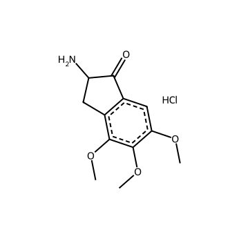 COc1cc2c(c(OC)c1OC)CC(N)C2=O.Cl